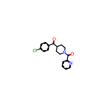 O=C(c1ccc(Cl)cc1)C1CCN(C(=O)c2ccccn2)CC1